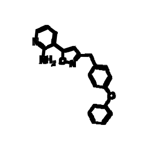 Nc1ncccc1-c1cc(Cc2ccc(Oc3ccccc3)cc2)no1